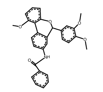 COc1ccc(C2Oc3cccc(OC)c3-c3ccc(NC(=O)c4ccccc4)cc32)cc1OC